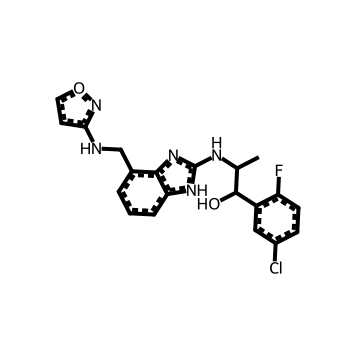 CC(Nc1nc2c(CNc3ccon3)cccc2[nH]1)C(O)c1cc(Cl)ccc1F